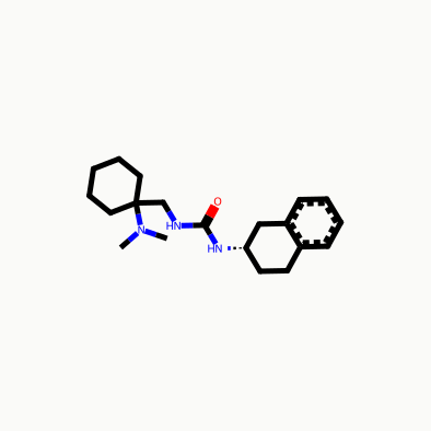 CN(C)C1(CNC(=O)N[C@H]2CCc3ccccc3C2)CCCCC1